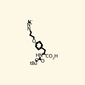 CC(C)(C)OC(=O)N[C@@H](Cc1ccc(OCCCN=[N+]=[N-])cc1)C(=O)O